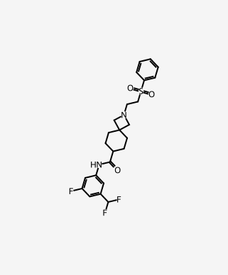 O=C(Nc1cc(F)cc(C(F)F)c1)C1CCC2(CC1)CN(CCS(=O)(=O)c1ccccc1)C2